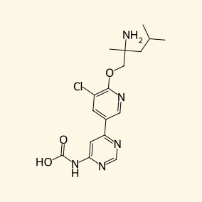 CC(C)CC(C)(N)COc1ncc(-c2cc(NC(=O)O)ncn2)cc1Cl